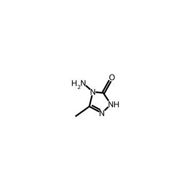 Cc1n[nH]c(=O)n1N